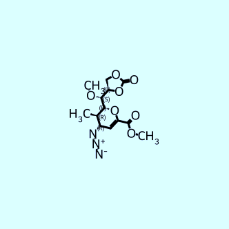 COC(=O)C1=C[C@H](N=[N+]=[N-])[C@@H](C)[C@H]([C@H](OC)[C@H]2COC(=O)O2)O1